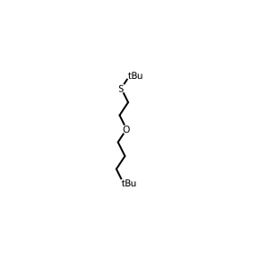 CC(C)(C)CCCOCCSC(C)(C)C